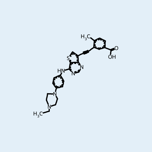 CCN1CCN(c2ccc(Nc3ncnc4c(C#Cc5cc(C(=O)O)ccc5C)csc34)cc2)CC1